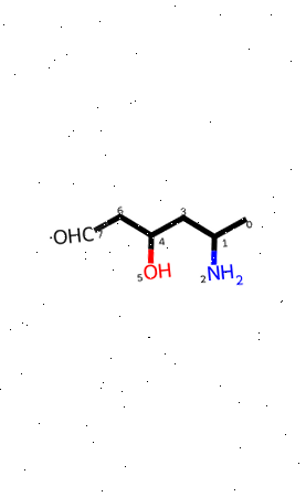 CC(N)CC(O)C[C]=O